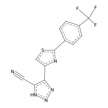 N#Cc1[nH]nnc1-c1csc(-c2ccc(C(F)(F)F)cc2)n1